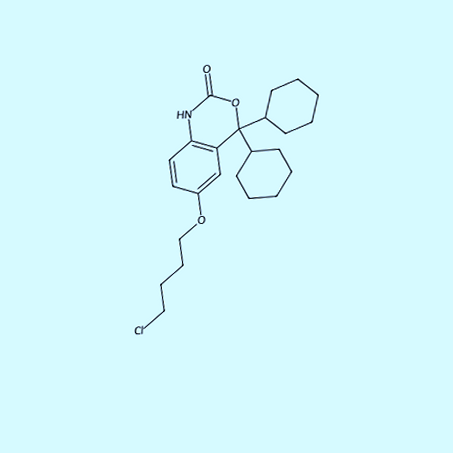 O=C1Nc2ccc(OCCCCCl)cc2C(C2CCCCC2)(C2CCCCC2)O1